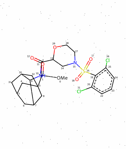 COC(=O)C12CC3CC(C1)C(NC(=O)C1CN(S(=O)(=O)c4c(Cl)cccc4Cl)CCO1)C(C3)C2